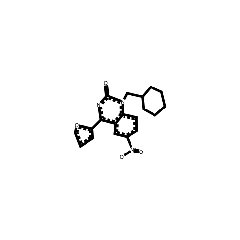 O=c1nc(-c2ccco2)c2cc([N+](=O)[O-])ccc2n1CC1CCCCC1